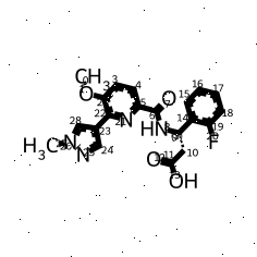 COc1ccc(C(=O)N[C@@H](CC(=O)O)c2ccccc2F)nc1-c1cnn(C)c1